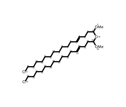 COC(CCC=CCCCCCCCCCCCCl)OC(CCC=CCCCCCCCCCCCCl)OC